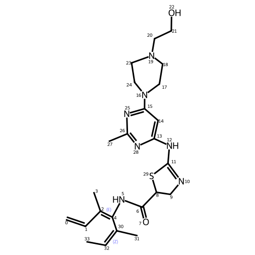 C=C/C(C)=C(NC(=O)C1CN=C(Nc2cc(N3CCN(CCO)CC3)nc(C)n2)S1)\C(C)=C/C